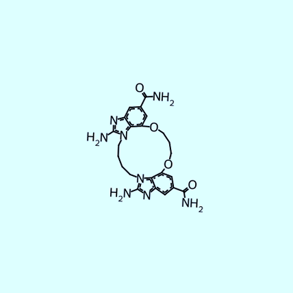 NC(=O)c1cc2c3c(c1)nc(N)n3CCCCn1c(N)nc3cc(C(N)=O)cc(c31)OCCCO2